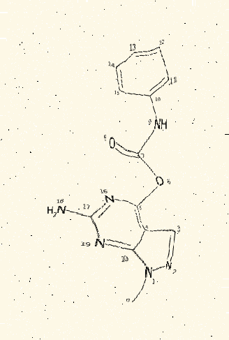 Cn1ncc2c(OC(=O)Nc3ccccc3)nc(N)nc21